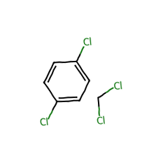 ClCCl.Clc1ccc(Cl)cc1